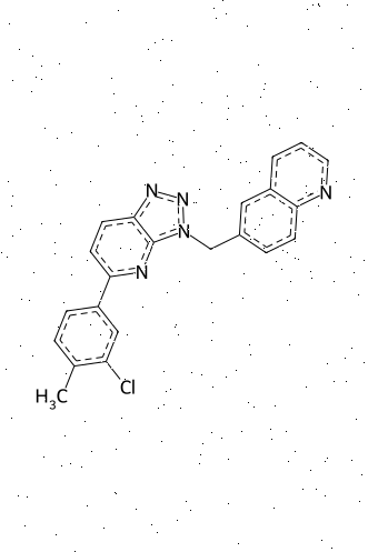 Cc1ccc(-c2ccc3nnn(Cc4ccc5ncccc5c4)c3n2)cc1Cl